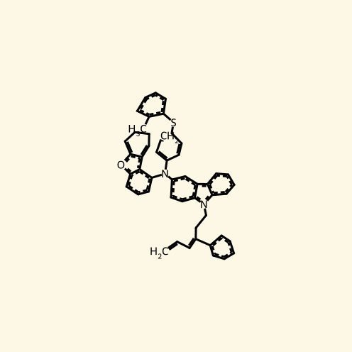 C=C/C=C(\CCn1c2ccccc2c2cc(N(C(/C=C\CSc3ccccc3C)=C/C=C)c3cccc4oc5c(c34)=CCCC=5)ccc21)c1ccccc1